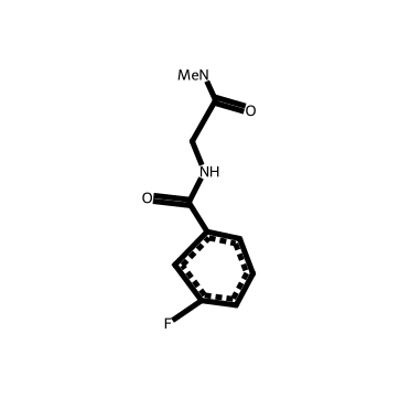 CNC(=O)CNC(=O)c1cccc(F)c1